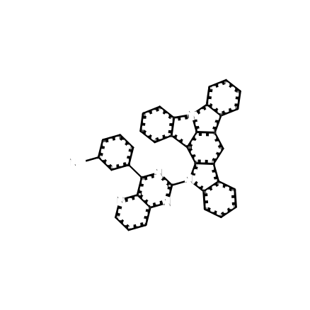 N#Cc1cccc(-c2nc(-n3c4ccccc4c4cc5c6ccccc6n6c7ccccc7c(c43)c56)nc3cccnc23)c1